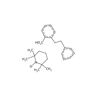 CC1(C)CCCC(C)(C)N1[O].O=C(O)c1ccccc1CCc1ccccc1